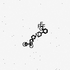 O=C(C1COC1)N1CC2(CC[C@H](N3CCC(c4ccccc4OC(F)(F)F)CC3)C2)C1